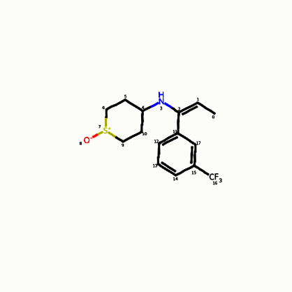 CC=C(NC1CC[S+]([O-])CC1)c1cccc(C(F)(F)F)c1